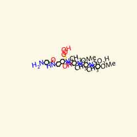 COc1ccc(N=Nc2cc(OC)c(N=Nc3cc(C)c(N=Nc4c(SOOO)cc5cc(NC(=O)c6ccc(N)cc6)ccc5c4O)cc3C)cc2C)c(S(=O)(=O)O)c1